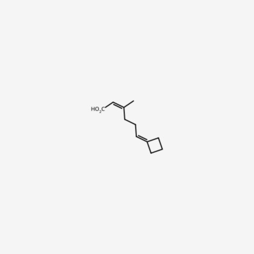 C/C(=C/C(=O)O)CCC=C1CCC1